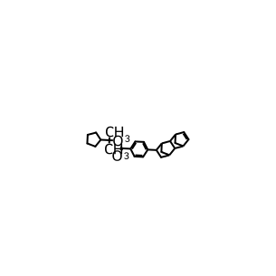 CC(C)(OC(=O)c1ccc(C2CC3CC2C2C4C=CC(C4)C32)cc1)C1CCCC1